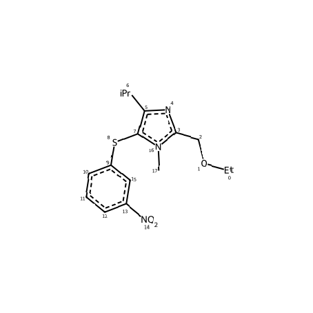 [CH2]COCc1nc(C(C)C)c(Sc2cccc([N+](=O)[O-])c2)n1C